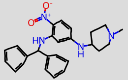 CN1CCC(Nc2ccc([N+](=O)[O-])c(NC(c3ccccc3)c3ccccc3)c2)CC1